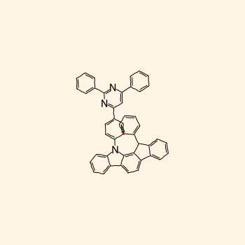 c1ccc(-c2cc(-c3ccc(-n4c5ccccc5c5ccc6c(c54)C(c4ccccc4)c4ccccc4-6)cc3)nc(-c3ccccc3)n2)cc1